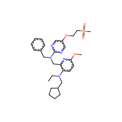 CCN(CC1CCCC1)c1ccc(OC)nc1CN(Cc1ccccc1)c1ncc(OCCS(C)(=O)=O)cn1